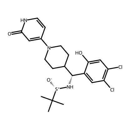 CC(C)(C)[S@+]([O-])N[C@@H](c1cc(Cl)c(Cl)cc1O)C1CCN(c2cc[nH]c(=O)c2)CC1